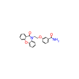 NC(=O)c1cccc(OCCN2C(=O)c3ccccc3Oc3ccccc32)c1